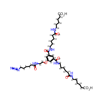 [N-]=[N+]=NCCCCCC(=O)NCCOc1cc(C(=O)NCCCCCC(=O)NCCCCCC(=O)O)cc(C(=O)NCCCCCC(=O)NCCCCCC(=O)O)c1